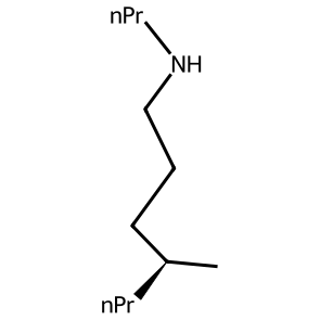 CCCNCCC[C@@H](C)CCC